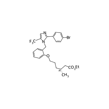 CCOC(=O)C[C@H](C)CCCOc1ccccc1Cn1c(C(F)(F)F)cnc1-c1ccc(Br)cc1